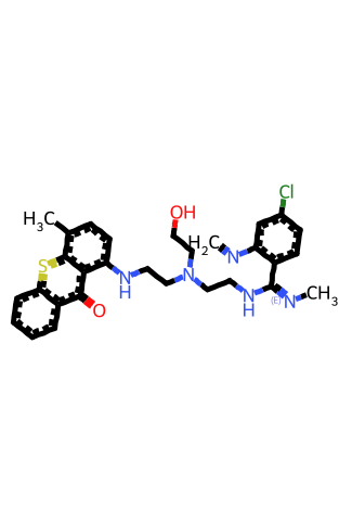 C=Nc1cc(Cl)ccc1/C(=N\C)NCCN(CCO)CCNc1ccc(C)c2sc3ccccc3c(=O)c12